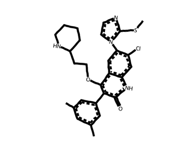 CSc1nccn1-c1cc2c(OCCC3CCCCN3)c(-c3cc(C)cc(C)c3)c(=O)[nH]c2cc1Cl